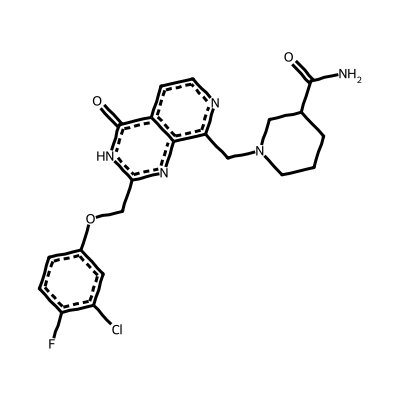 NC(=O)C1CCCN(Cc2nccc3c(=O)[nH]c(COc4ccc(F)c(Cl)c4)nc23)C1